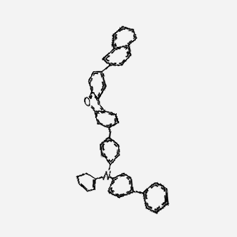 C1=CCCC(N(c2ccc(-c3ccccc3)cc2)c2ccc(-c3ccc4c(c3)oc3ccc(-c5ccc6ccccc6c5)cc34)cc2)=C1